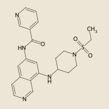 CCS(=O)(=O)N1CCC(Nc2cc(NC(=O)c3cccnc3)cc3ccncc23)CC1